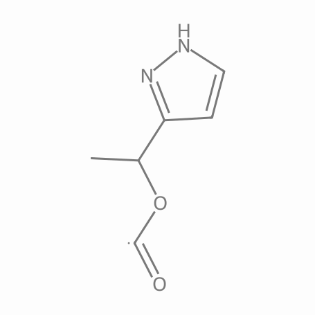 CC(O[C]=O)c1cc[nH]n1